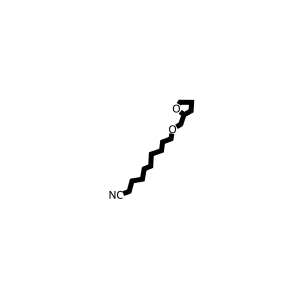 N#CCCCCCCCCCOCC1CCCO1